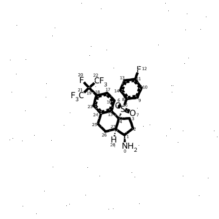 N[C@@H]1CC[C@]2(S(=O)(=O)c3ccc(F)cc3)c3ccc(C(F)(C(F)(F)F)C(F)(F)F)cc3CC[C@H]12